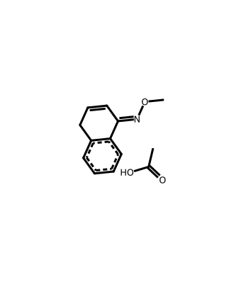 CC(=O)O.CON=C1C=CCc2ccccc21